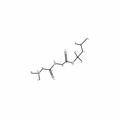 CC(C)CC(C)(C)OC(=O)COC(=O)CN(C)C